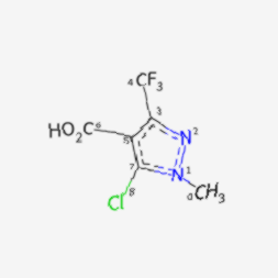 Cn1nc(C(F)(F)F)c(C(=O)O)c1Cl